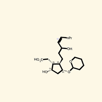 CCC/C=C\C(O)CC[C@@H]1[C@@H](CC(=O)O)[C@@H](O)C[C@H]1OC1CCCCO1